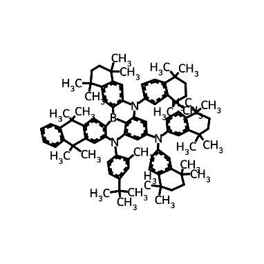 Cc1cc(C(C)(C)C)ccc1N1c2cc3c(cc2B2c4cc5c(cc4N(c4ccc6c(c4)C(C)(C)CCC6(C)C)c4cc(N(c6ccc7c(c6)C(C)(C)CCC7(C)C)c6ccc7c(c6)C(C)(C)CCC7(C)C)cc1c42)C(C)(C)CCC5(C)C)C(C)(C)c1ccccc1C3(C)C